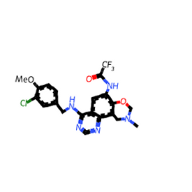 COc1ccc(CNc2ncnc3c4c(c(NC(=O)C(F)(F)F)cc23)OCN(C)C4)cc1Cl